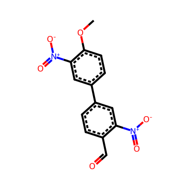 COc1ccc(-c2ccc(C=O)c([N+](=O)[O-])c2)cc1[N+](=O)[O-]